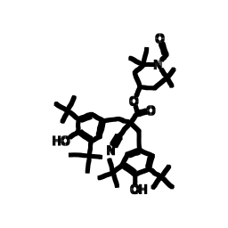 CC(C)(C)c1cc(CC(C#N)(Cc2cc(C(C)(C)C)c(O)c(C(C)(C)C)c2)C(=O)OC2CC(C)(C)N(C=O)C(C)(C)C2)cc(C(C)(C)C)c1O